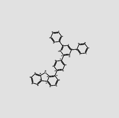 c1ccc(-c2cc(-c3ccccc3)nc(-c3ccc(-c4cccc5c4oc4ccccc45)cc3)n2)cc1